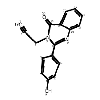 C#CCn1c(-c2ccc(O)cc2)nc2ccccc2c1=O